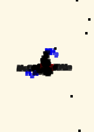 COCCCCOc1cc(CCCN)ccc1-c1c(CCCN)cccc1OCCOC